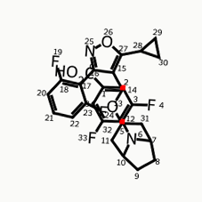 O=C(O)c1cc(F)c(N2C3CCC2CC(OCc2c(-c4c(F)cccc4F)noc2C2CC2)C3)c(F)c1